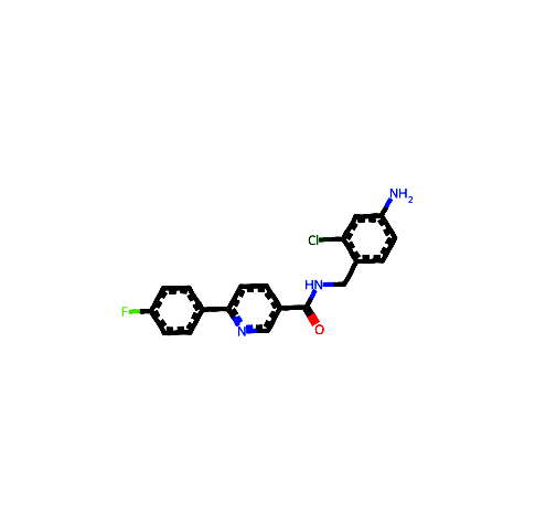 Nc1ccc(CNC(=O)c2ccc(-c3ccc(F)cc3)nc2)c(Cl)c1